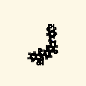 COc1cccc(/C=C2\CCn3c2nc2cc(NC(=O)c4ccccc4C(=O)O)ccc2c3=O)c1